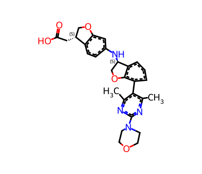 Cc1nc(N2CCOCC2)nc(C)c1-c1cccc2c1OC[C@H]2Nc1ccc2c(c1)OC[C@H]2CC(=O)O